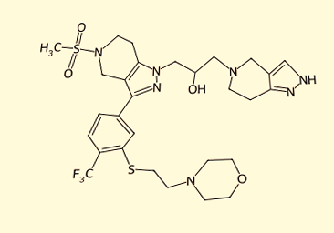 CS(=O)(=O)N1CCc2c(c(-c3ccc(C(F)(F)F)c(SCCN4CCOCC4)c3)nn2CC(O)CN2CCc3n[nH]cc3C2)C1